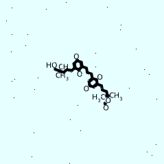 CC(C)(CO)CCCC1=CC(=O)C=C(CCCC2=CC(=O)C=C(CCCC(C)(C)OC=O)C2=O)C1=O